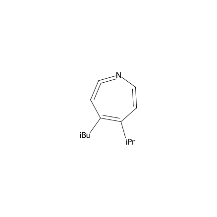 CCC(C)C1=C(C(C)C)C=CN=C=C1